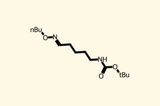 CCCCO/N=C/CCCCNC(=O)OC(C)(C)C